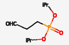 CC(C)OP(=O)(CCC=O)OC(C)C